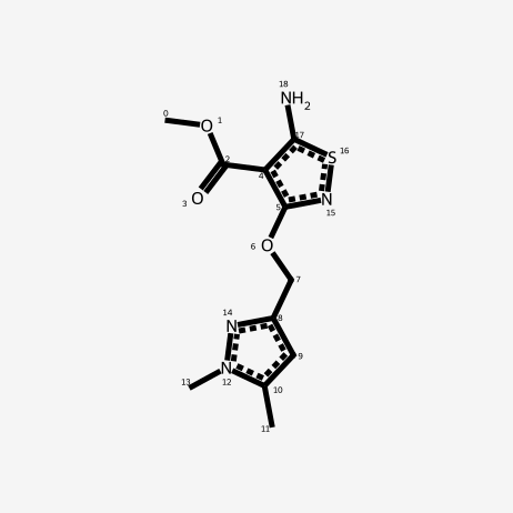 COC(=O)c1c(OCc2cc(C)n(C)n2)nsc1N